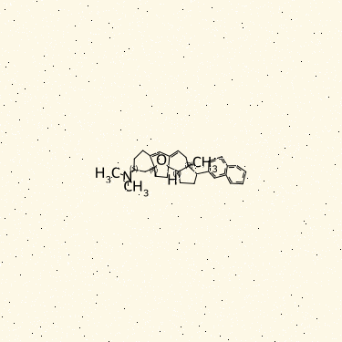 CN(C)[C@H]1CCC2=CC3=CC[C@]4(C)C(c5ccc6ccccc6c5)CC[C@H]4C34CC[C@]2(C1)O4